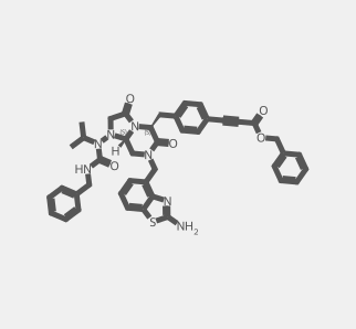 CC(C)N(C(=O)NCc1ccccc1)N1CC(=O)N2[C@@H](Cc3ccc(C#CC(=O)OCc4ccccc4)cc3)C(=O)N(Cc3cccc4sc(N)nc34)C[C@@H]21